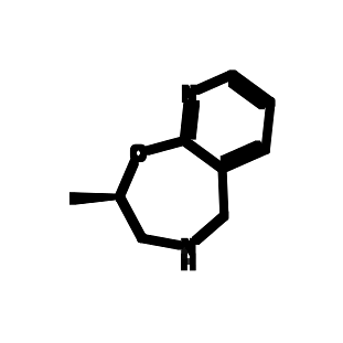 C[C@@H]1CNCc2cccnc2O1